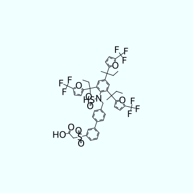 CCC(C)(c1cc(C(C)(CC)c2ccc(C(F)(F)F)o2)c(N(Cc2ccc(-c3cccc(S(=O)(=O)CC(=O)O)c3)cc2)[SH](=O)=O)c(C(C)(CC)c2ccc(C(F)(F)F)o2)c1)c1ccc(C(F)(F)F)o1